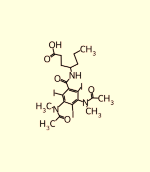 CCCC(CCC(=O)O)NC(=O)c1c(I)c(N(C)C(C)=O)c(I)c(N(C)C(C)=O)c1I